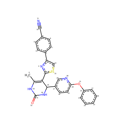 CC1=C(c2nc(-c3ccc(C#N)cc3)cs2)C(c2ccc(Oc3ccccc3)nc2)NC(=O)N1